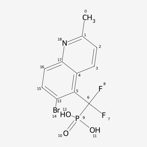 Cc1ccc2c(C(F)(F)P(=O)(O)O)c(Br)ccc2n1